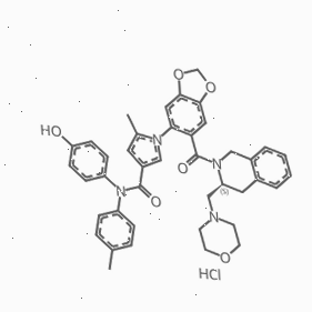 Cc1ccc(N(C(=O)c2cc(C)n(-c3cc4c(cc3C(=O)N3Cc5ccccc5C[C@H]3CN3CCOCC3)OCO4)c2)c2ccc(O)cc2)cc1.Cl